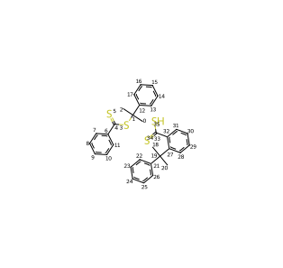 CC(C)(SC(=S)c1ccccc1)c1ccccc1.CC(C)(c1ccccc1)c1ccccc1C(=S)S